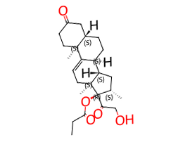 CCC(=O)O[C@]1(C(=O)CO)[C@@H](C)C[C@H]2[C@@H]3CC[C@H]4CC(=O)CC[C@]4(C)C3=CC[C@@]21C